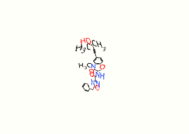 CN1C(=O)C(NC(=O)c2noc(Cc3ccccc3)n2)COc2ccc(C#CC(C)(C)O)cc21